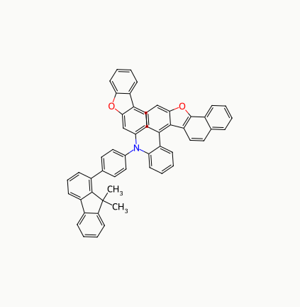 CC1(C)c2ccccc2-c2cccc(-c3ccc(N(c4ccc5c(c4)oc4ccccc45)c4ccccc4-c4cccc5oc6c7ccccc7ccc6c45)cc3)c21